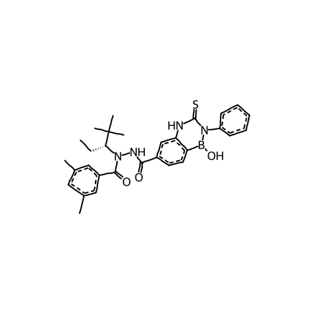 CC[C@@H](N(NC(=O)c1ccc2c(c1)NC(=S)N(c1ccccc1)B2O)C(=O)c1cc(C)cc(C)c1)C(C)(C)C